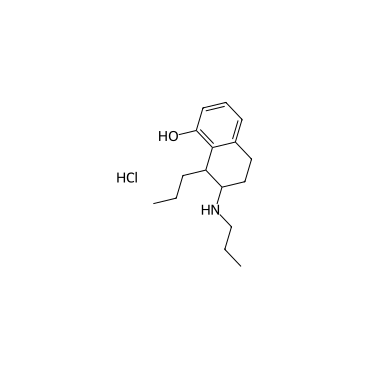 CCCNC1CCc2cccc(O)c2C1CCC.Cl